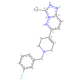 Fc1cccc(CN2CC=C(c3ccc4nnc(C(F)(F)F)n4n3)CC2)c1